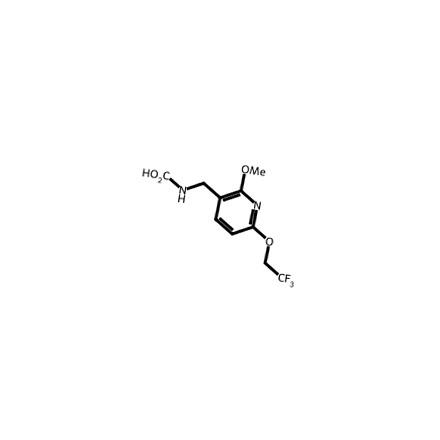 COc1nc(OCC(F)(F)F)ccc1CNC(=O)O